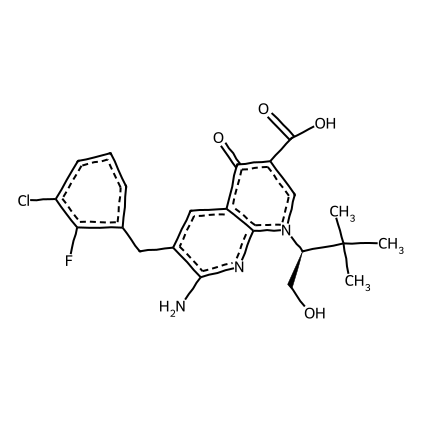 CC(C)(C)[C@@H](CO)n1cc(C(=O)O)c(=O)c2cc(Cc3cccc(Cl)c3F)c(N)nc21